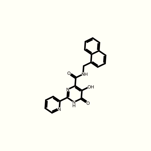 O=C(NCc1cccc2ccccc12)c1nc(-c2ccccn2)[nH]c(=O)c1O